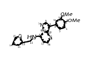 COc1ccc(-c2cnn3c(NCc4ccco4)ccnc23)cc1OC